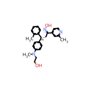 Cc1cc(/C(C[C@H](c2ccc(N(C)CCO)cc2)c2ccccc2C)=N\O)ccn1